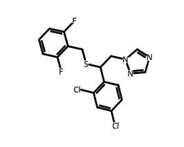 Fc1cccc(F)c1CSC(Cn1cncn1)c1ccc(Cl)cc1Cl